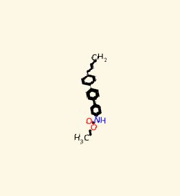 C=CCCC[C@H]1CC[C@H](c2ccc(-c3ccc(NC(=O)OCCC)cc3)cc2)CC1